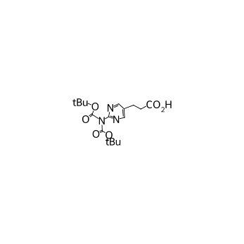 CC(C)(C)OC(=O)N(C(=O)OC(C)(C)C)c1ncc(CCC(=O)O)cn1